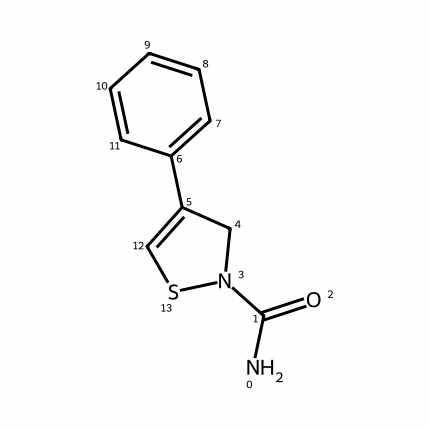 NC(=O)N1CC(c2ccccc2)=CS1